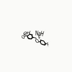 O=S(O)c1ccc(COc2ccc(F)cc2F)cc1.[NaH]